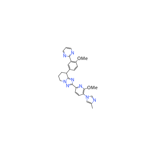 COc1ccc(C2CCCn3nc(-c4ccc(-n5cnc(C)c5)c(OC)n4)nc32)cc1-c1ncccn1